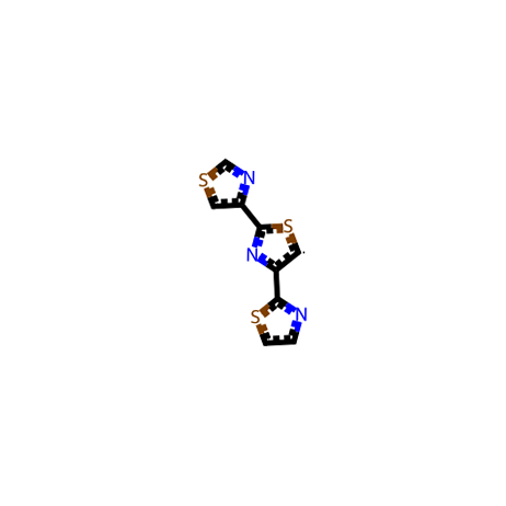 [c]1sc(-c2cscn2)nc1-c1nccs1